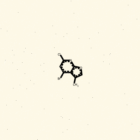 Cc1coc2nc(Cl)cc(Br)c12